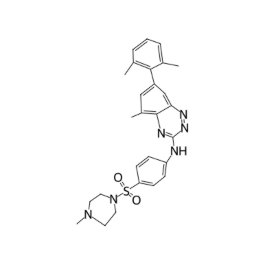 Cc1cccc(C)c1-c1cc(C)c2nc(Nc3ccc(S(=O)(=O)N4CCN(C)CC4)cc3)nnc2c1